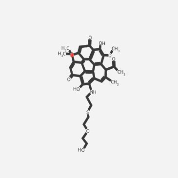 COc1c(O)c2c(=O)cc(OC)c3c4c(OC)cc(=O)c5c(O)c(NCCSCCOCCO)c6c(c(c1C(C(C)=O)C(C)=C6)c23)c54